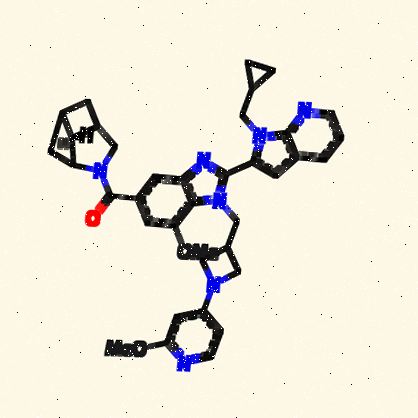 COc1cc(N2CC(Cn3c(-c4cc5cccnc5n4CC4CC4)nc4cc(C(=O)N5CC6CC7CC5[C@H]76)cc(OC)c43)C2)ccn1